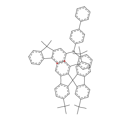 CC(C)(C)c1ccc2c(c1)C1(c3cc(C(C)(C)C)ccc3-2)c2cc(C(C)(C)C)ccc2-c2cccc(-c3ccccc3N(c3ccc(-c4ccccc4)cc3)c3ccc4c(c3)C(C)(C)c3ccccc3-4)c21